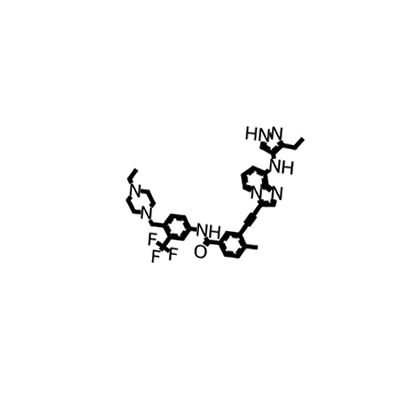 CCc1n[nH]cc1Nc1cccn2c(C#Cc3cc(C(=O)Nc4ccc(CN5CCN(CC)CC5)c(C(F)(F)F)c4)ccc3C)cnc12